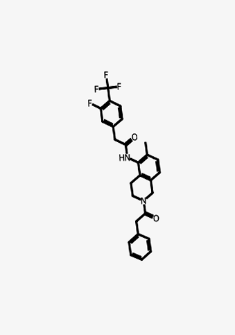 Cc1ccc2c(c1NC(=O)Cc1ccc(C(F)(F)F)c(F)c1)CCN(C(=O)Cc1ccccc1)C2